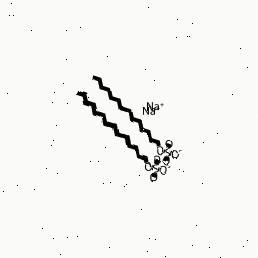 CCCCCCCCCCCCCCOS(=O)(=O)[O-].CCCCCCCCCCCCCCOS(=O)(=O)[O-].[Na+].[Na+]